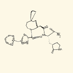 NC(=O)[C@H](C[C@@H]1CCNC1=O)NC(=O)[C@@H]1CC2(CCN1C(=O)c1ncc(-c3ccccc3)s1)CC2